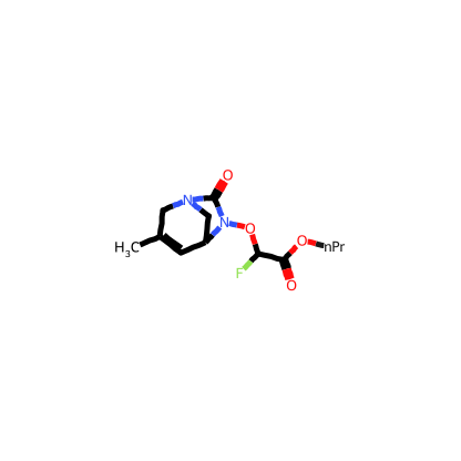 CCCOC(=O)C(F)ON1C(=O)N2CC(C)=CC1C2